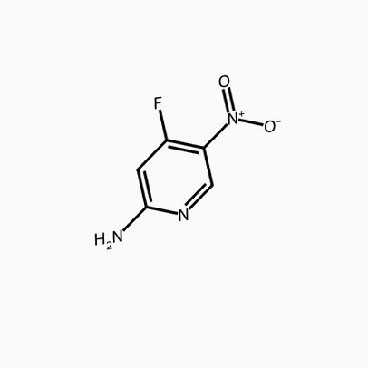 Nc1cc(F)c([N+](=O)[O-])cn1